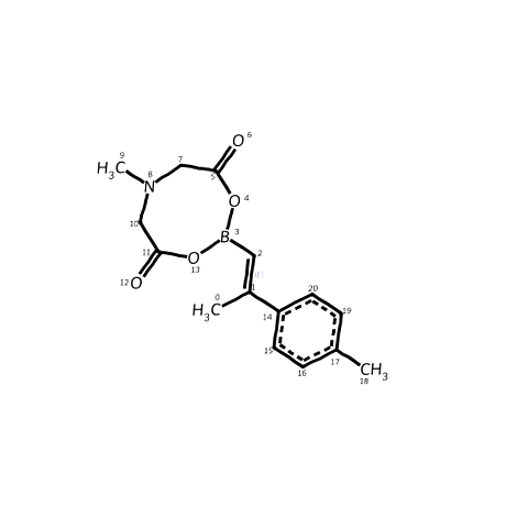 C/C(=C\B1OC(=O)CN(C)CC(=O)O1)c1ccc(C)cc1